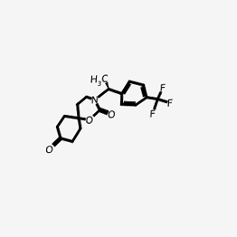 C[C@@H](c1ccc(C(F)(F)F)cc1)N1CCC2(CCC(=O)CC2)OC1=O